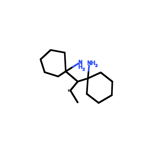 C[C]C(C1(N)CCCCC1)C1(N)CCCCC1